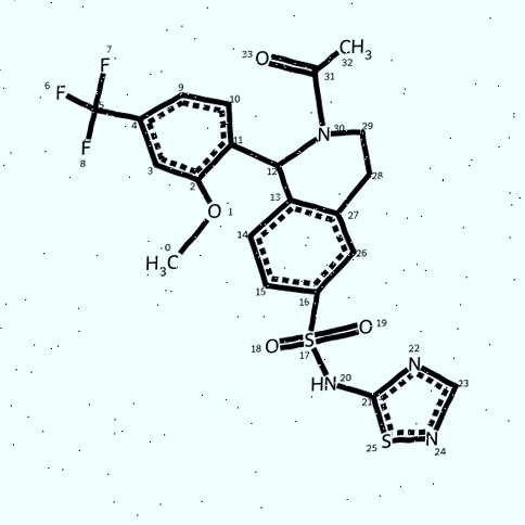 COc1cc(C(F)(F)F)ccc1C1c2ccc(S(=O)(=O)Nc3ncns3)cc2CCN1C(C)=O